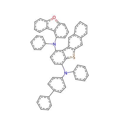 c1ccc(-c2ccc(N(c3ccccc3)c3ccc(N(c4ccccc4)c4cccc5oc6ccccc6c45)c4c3sc3cc5ccccc5cc34)cc2)cc1